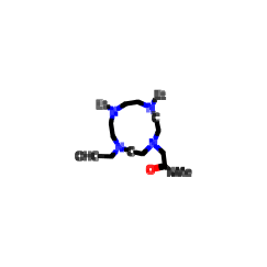 CCN1CCN(CC)CCN(CC(=O)NC)CCN(CC=O)CC1